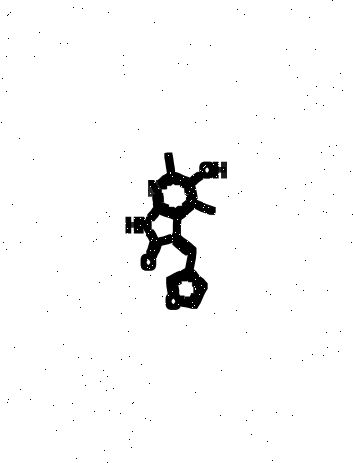 Cc1nc2c(c(C)c1O)C(=Cc1ccoc1)C(=O)N2